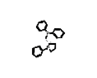 c1ccc(P(C[C@@H]2CCCP2c2ccccc2)c2ccccc2)cc1